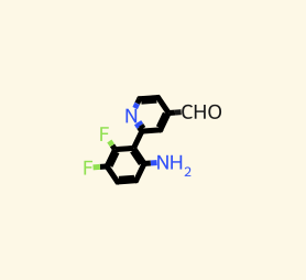 Nc1ccc(F)c(F)c1-c1cc(C=O)ccn1